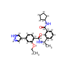 CCOc1cc(-c2cn[nH]c2)ccc1C(=O)N[C@H](C)c1cccc(C(=O)NC2CCCC2)c1